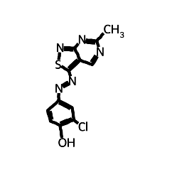 Cc1ncc2c(/N=N/c3ccc(O)c(Cl)c3)snc2n1